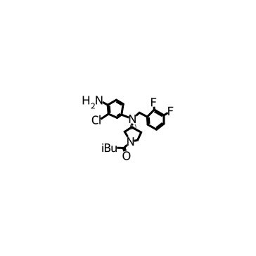 CCC(C)C(=O)N1CC[C@H](N(Cc2cccc(F)c2F)c2ccc(N)c(Cl)c2)C1